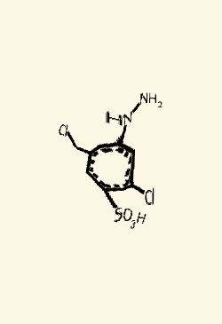 NNc1cc(Cl)c(S(=O)(=O)O)cc1Cl